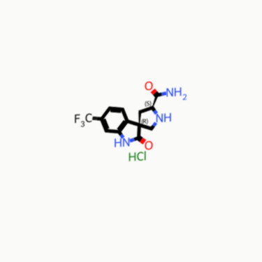 Cl.NC(=O)[C@@H]1C[C@@]2(CN1)C(=O)Nc1cc(C(F)(F)F)ccc12